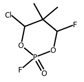 CC1(C)C(F)OP(=O)(F)OC1Cl